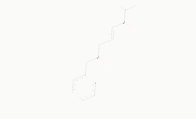 CC(C)C(=O)/C=C/CC(=O)Cc1ccccc1